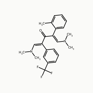 Cc1ccccc1/C(=C\N(C)C)C(=O)/C(=C/N(C)C)c1cccc(C(F)(F)F)c1